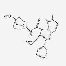 O=C(NC12CCC(C(=O)O)(CC1)CC2)c1c(C2CC2)c(-c2ccccc2)nc2ccc(I)cc12